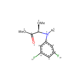 COC(=O)[C@@H](OC)N(C(C)=O)c1cc(F)cc(F)c1